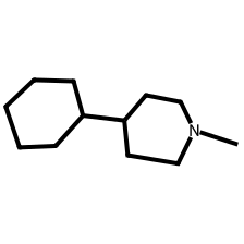 CN1CCC(C2CCCCC2)CC1